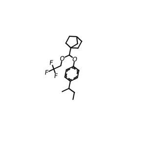 CCC(C)c1ccc(OC(OCC(F)(F)F)C23CCC(CC2)C3)cc1